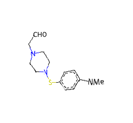 CNc1ccc(SN2CCN(CC=O)CC2)cc1